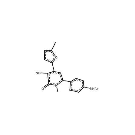 CC(=O)Nc1ccc(-c2cc(-c3ccc(C)o3)c(C#N)c(=O)n2C)cc1